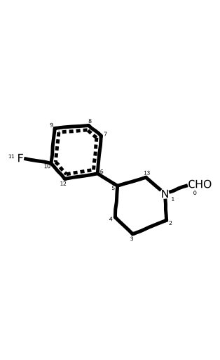 O=CN1CCCC(c2cccc(F)c2)C1